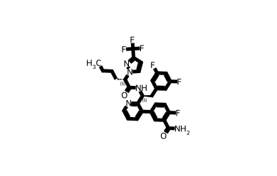 CCCC[C@@H](C(=O)N[C@@H](Cc1cc(F)cc(F)c1)c1ncccc1-c1ccc(F)c(C(N)=O)c1)n1ccc(C(F)(F)F)n1